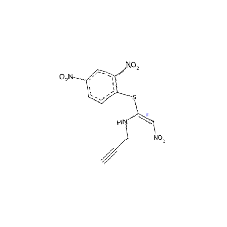 C#CCN/C(=C\[N+](=O)[O-])Sc1ccc([N+](=O)[O-])cc1[N+](=O)[O-]